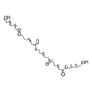 O=C(CSCC[S+]([O-])CCSCCSC(=O)CSCCOOCSCSCO)OCSCSCO